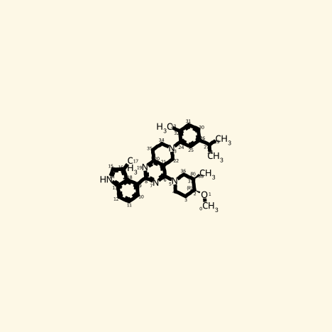 CO[C@@H]1CCN(c2nc(-c3cccc4[nH]cc(C)c34)nc3c2CN(c2cc(C(C)C)ccc2C)CC3)C[C@H]1C